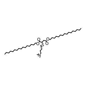 CCCCCCCCCCCCCCCCOC(=O)CC(SSCCCN(C)C)C(=O)OCCCCCCCCCCCCCCCC